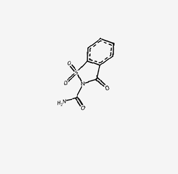 NC(=O)N1C(=O)c2ccccc2S1(=O)=O